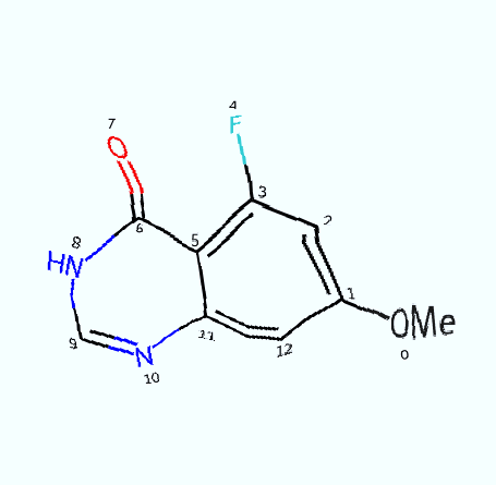 COc1cc(F)c2c(=O)[nH]cnc2c1